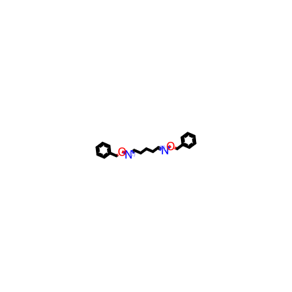 C(/CCC/C=N/OCc1ccccc1)=N\OCc1ccccc1